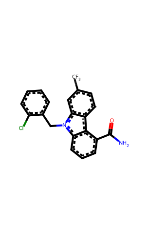 NC(=O)c1cccc2c1c1[c]cc(C(F)(F)F)cc1n2Cc1ccccc1Cl